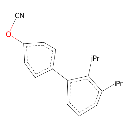 CC(C)c1cccc(-c2ccc(OC#N)cc2)c1C(C)C